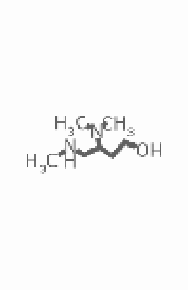 CNCC(CCO)N(C)C